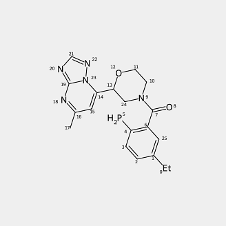 CCc1ccc(P)c(C(=O)N2CCOC(c3cc(C)nc4ncnn34)C2)c1